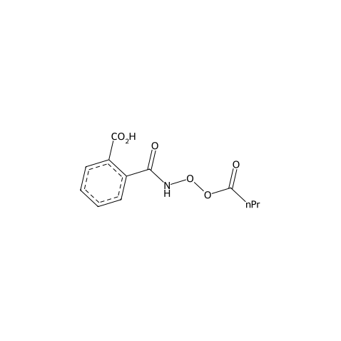 CCCC(=O)OONC(=O)c1ccccc1C(=O)O